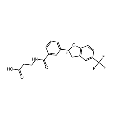 O=C(O)CCNC(=O)c1cccc([C@@H]2Cc3cc(C(F)(F)F)ccc3O2)c1